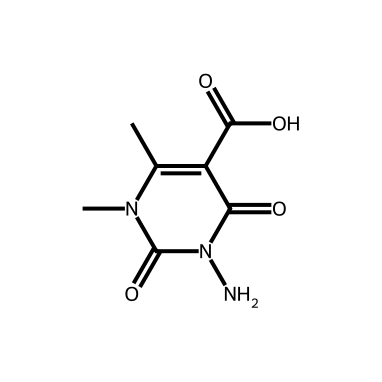 Cc1c(C(=O)O)c(=O)n(N)c(=O)n1C